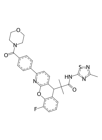 Cc1nsc(NC(=O)C(C)(C)C2c3ccc(-c4ccc(C(=O)N5CCOCC5)cc4)nc3Oc3c(F)cccc32)n1